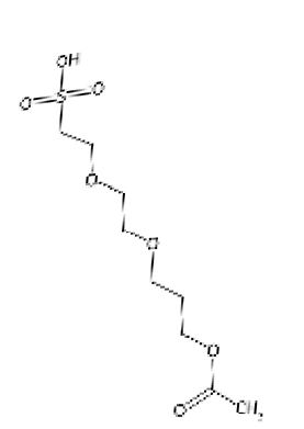 CC(=O)OCCCOCCOCCS(=O)(=O)O